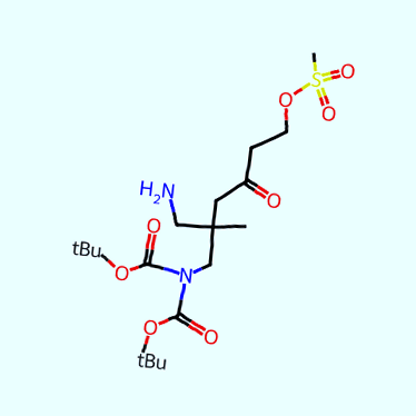 CC(CN)(CC(=O)CCOS(C)(=O)=O)CN(C(=O)OC(C)(C)C)C(=O)OC(C)(C)C